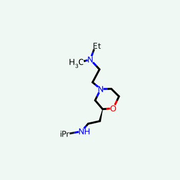 CCN(C)CCN1CCO[C@@H](CCNC(C)C)C1